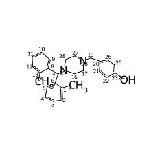 Cc1ccccc1C(c1ccccc1C)N1CCN(Cc2ccc(O)cc2)CC1